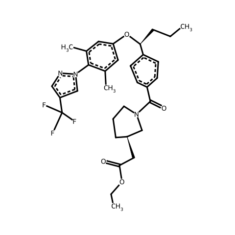 CCC[C@H](Oc1cc(C)c(-n2cc(C(F)(F)F)cn2)c(C)c1)c1ccc(C(=O)N2CCC[C@H](CC(=O)OCC)C2)cc1